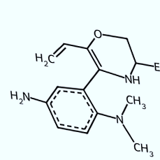 C=CC1=C(c2cc(N)ccc2N(C)C)NC(CC)CO1